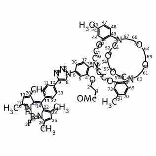 COCCOc1cc(-n2cc(-c3ccc(/C(=C4/N=C(C)C=C4C)c4c(C)cc(C)n4B(F)F)cc3)nn2)ccc1N1CCOc2cc(C)ccc2N2CCOCCOCCN(CCOCCOCC2)c2ccc(C)cc2OCC1